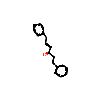 O=C(/C=C/Cc1ccccc1)CCc1ccccc1